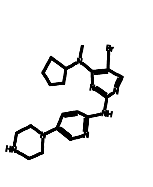 CN(c1nc(Nc2ccc(N3CCNCC3)cn2)ncc1Br)C1CCCC1